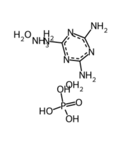 N.Nc1nc(N)nc(N)n1.O.O.O=P(O)(O)O